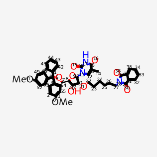 COc1ccc(C(OC[C@H]2O[C@@H](n3cc(C)c(=O)[nH]c3=O)[C@H](OCCCCCCN3C(=O)c4ccccc4C3=O)[C@@H]2O)(c2ccccc2)c2ccc(OC)cc2)cc1